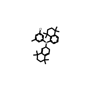 Cc1cc(Cl)cc(N(c2cccc3c2C(C)(C)CCC3(C)C)C2C=C3C(=CC2)C(C)(C)CCC3(C)C)c1